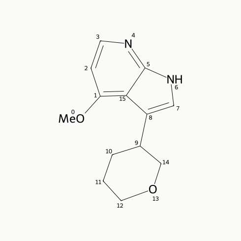 COc1ccnc2[nH]cc(C3CCCOC3)c12